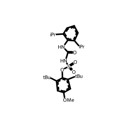 COc1cc(C(C)(C)C)c(OS(=O)(=O)NC(=O)Nc2c(C(C)C)cccc2C(C)C)c(C(C)(C)C)c1